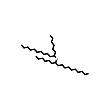 CCCCCCCCCCC(CCCCCC)OC(CCCCCC)CCCCCCCCCC